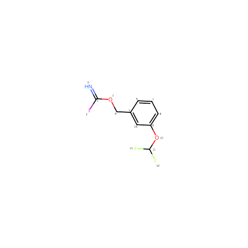 N=C(I)OCc1cccc(OC(F)F)c1